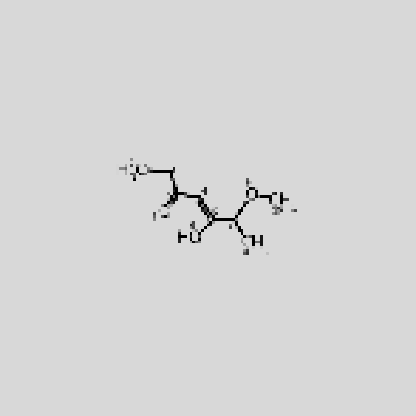 CCC(=O)/C=C(\O)C(C)OC